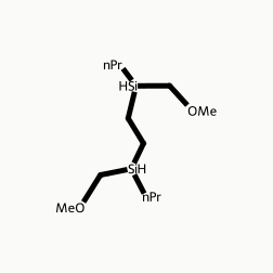 CCC[SiH](CC[SiH](CCC)COC)COC